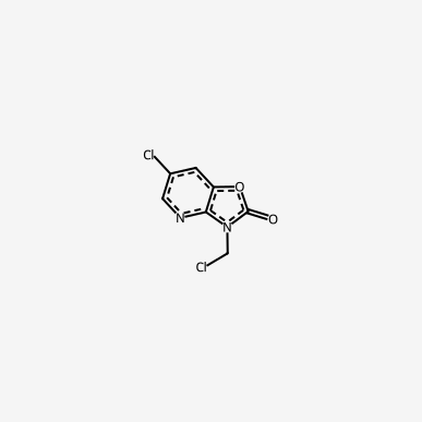 O=c1oc2cc(Cl)cnc2n1CCl